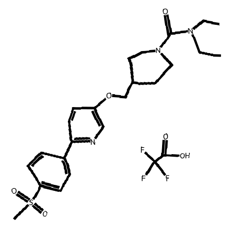 CCN(CC)C(=O)N1CCC(COc2ccc(-c3ccc(S(C)(=O)=O)cc3)nc2)CC1.O=C(O)C(F)(F)F